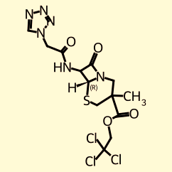 CC1(C(=O)OCC(Cl)(Cl)Cl)CS[C@@H]2C(NC(=O)Cn3cnnn3)C(=O)N2C1